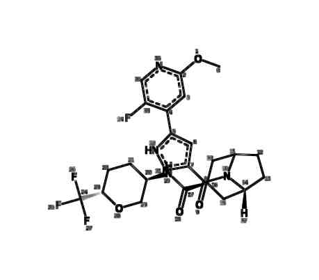 COc1cc(-c2cc(C(=O)N3C4CC[C@@H]3C[C@@H](C(=O)N[C@@H]3CC[C@@H](C(F)(F)F)OC3)C4)n[nH]2)c(F)cn1